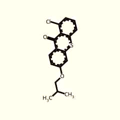 CC(C)COc1ccc2c(=O)c3c(Cl)cccc3sc2c1